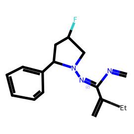 C=N/C(=N\N1CC(F)CC1c1ccccc1)C(=C)CC